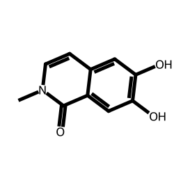 Cn1ccc2cc(O)c(O)cc2c1=O